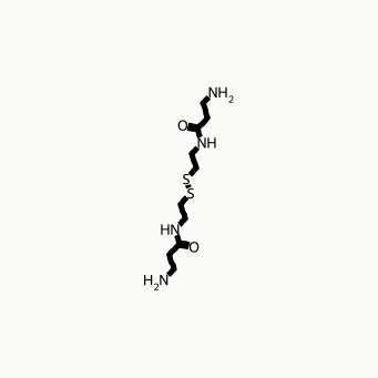 NCCC(=O)NCCSSCCNC(=O)CCN